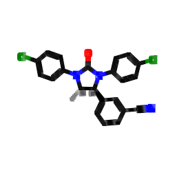 C[C@H]1[C@H](c2cccc(C#N)c2)N(c2ccc(Cl)cc2)C(=O)N1c1ccc(Cl)cc1